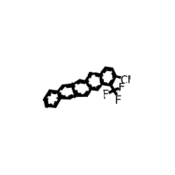 FC(F)(F)c1c(Cl)ccc2cc3cc4cc5ccccc5cc4cc3cc12